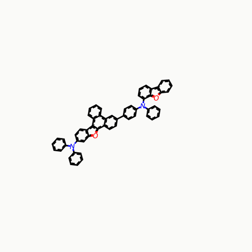 c1ccc(N(c2ccccc2)c2ccc3c(c2)oc2c4ccc(-c5ccc(N(c6ccccc6)c6cccc7c6oc6ccccc67)cc5)cc4c4ccccc4c32)cc1